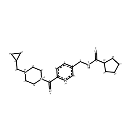 O=C(NCc1ccc(C(=O)N2CCN(CC3CC3)CC2)nc1)C1CCCC1